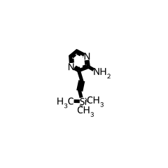 C[Si](C)(C)C#Cc1nccnc1N